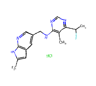 Cc1c(NCc2cnc3[nH]c(C(F)(F)F)cc3c2)ncnc1C(C)F.Cl